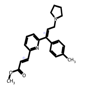 COC(=O)/C=C/c1cccc(/C(=C/CN2CCCC2)c2ccc(C)cc2)n1